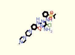 COc1cc(N2CCC(N3CCN(C)CC3)CC2)ccc1Nc1nc(N)c(Cl)c(Nc2ccccc2S(=O)(=O)C(C)C)n1